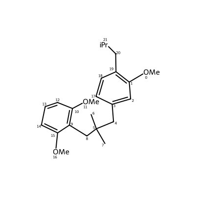 COc1cc(CC(C)(C)Cc2c(OC)cccc2OC)ccc1CC(C)C